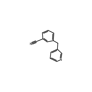 N#Cc1cccc(Cc2cccnc2)c1